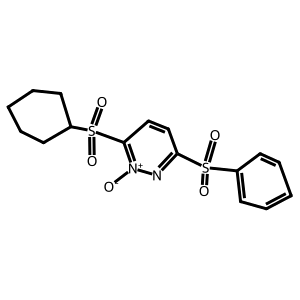 O=S(=O)(c1ccccc1)c1ccc(S(=O)(=O)C2CCCCC2)[n+]([O-])n1